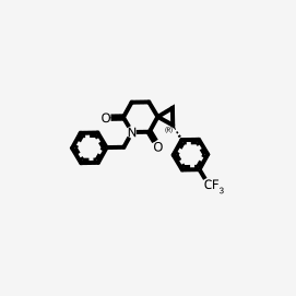 O=C1CCC2(C[C@@H]2c2ccc(C(F)(F)F)cc2)C(=O)N1Cc1ccccc1